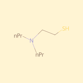 CCCN(CCC)CCS